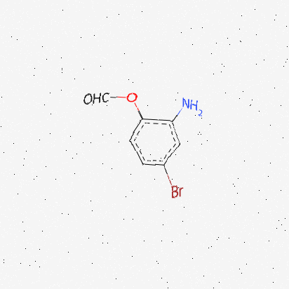 Nc1cc(Br)ccc1OC=O